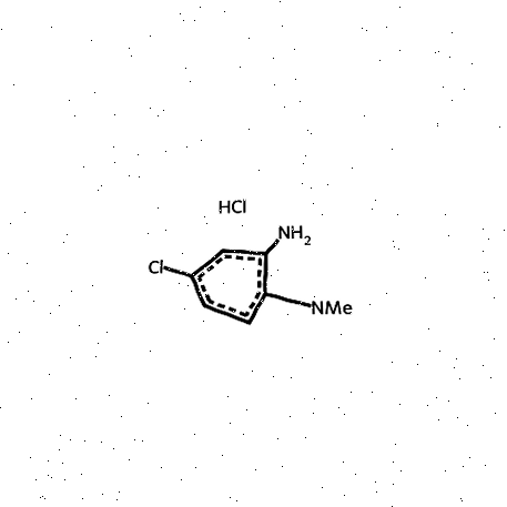 CNc1ccc(Cl)cc1N.Cl